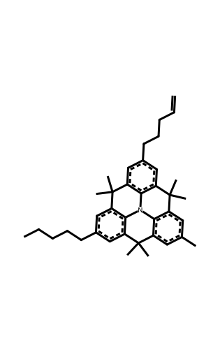 C=CCCCc1cc2c3c(c1)C(C)(C)c1cc(CCCCC)cc4c1N3c1c(cc(C)cc1C4(C)C)C2(C)C